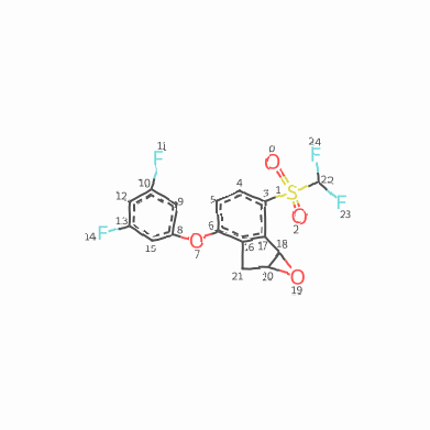 O=S(=O)(c1ccc(Oc2cc(F)cc(F)c2)c2c1C1OC1C2)C(F)F